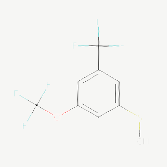 CSc1cc(OC(F)(F)F)cc(C(F)(F)F)c1